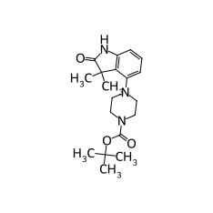 CC(C)(C)OC(=O)N1CCN(c2cccc3c2C(C)(C)C(=O)N3)CC1